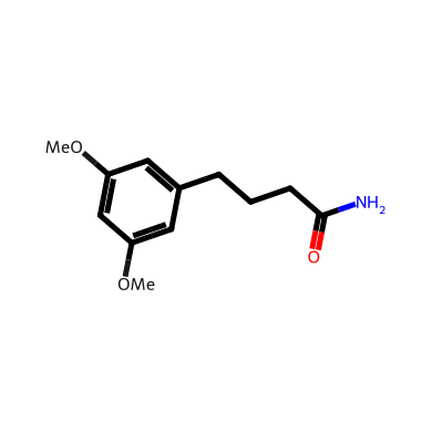 COc1cc(CCCC(N)=O)cc(OC)c1